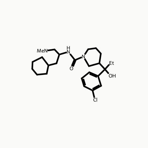 CCC(O)(c1cccc(Cl)c1)C1CCCN(C(=O)NC(CNC)CC2CCCCC2)C1